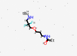 CCC(=O)NCCCOCC(F)(F)CNC(C)(C)C